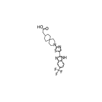 O=C(O)CC1CCC2(CC1)CCN(c1ncc(-c3nc4cc(C(F)(F)F)ccc4[nH]3)s1)CC2